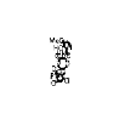 COc1ccnc(C(=O)N[C@H]2COC[C@H](Cc3ccc(Cl)cc3Cl)[C@@H](OC(=O)C(C)C)[C@H](C)OC2=O)c1O